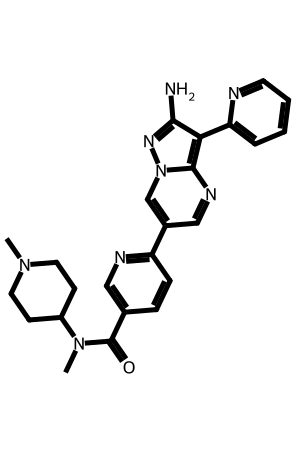 CN1CCC(N(C)C(=O)c2ccc(-c3cnc4c(-c5ccccn5)c(N)nn4c3)nc2)CC1